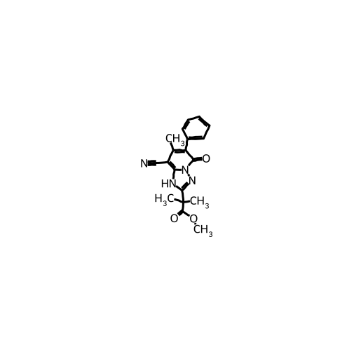 COC(=O)C(C)(C)c1nn2c(=O)c(-c3ccccc3)c(C)c(C#N)c2[nH]1